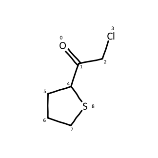 O=C(CCl)C1CCCS1